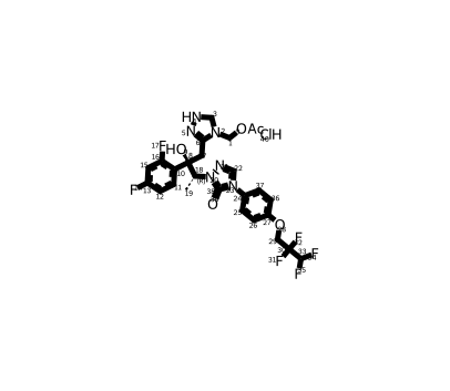 CC(=O)OCN1CNN=C1C[C@@](O)(c1ccc(F)cc1F)[C@@H](C)n1ncn(-c2ccc(OCC(F)(F)C(F)F)cc2)c1=O.Cl